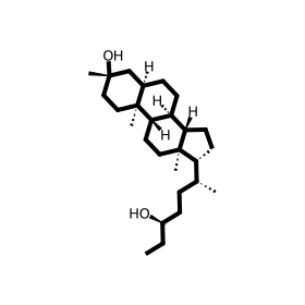 CC[C@@H](O)CC[C@@H](C)[C@H]1CC[C@H]2[C@@H]3CC[C@@H]4C[C@@](C)(O)CC[C@]4(C)[C@H]3CC[C@]12C